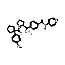 COc1ccc(C2(C(=O)N3CCCC3C(N)c3ccc(C(=O)Nc4ccncc4)cc3)CCCC2)cc1